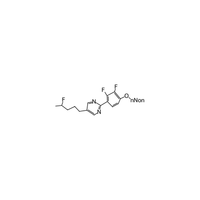 CCCCCCCCCOc1ccc(-c2ncc(CCCC(C)F)cn2)c(F)c1F